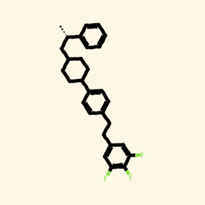 C[C@@H](CC1CCC(c2ccc(CCc3cc(F)c(F)c(F)c3)cc2)CC1)c1ccccc1